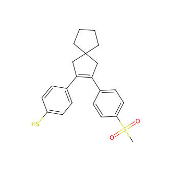 CS(=O)(=O)c1ccc(C2=C(c3ccc(S)cc3)CC3(CCCC3)C2)cc1